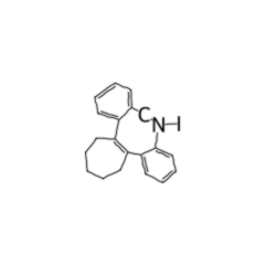 IN1Cc2ccccc2C2=C(CCCCC2)c2ccccc21